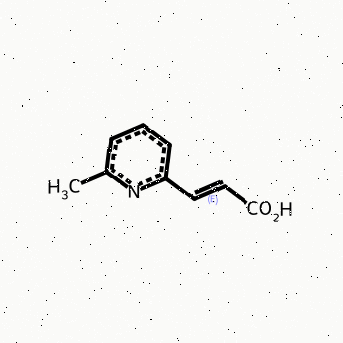 Cc1cccc(/C=C/C(=O)O)n1